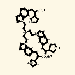 O=C(O)C(Cc1ccc2ccn(CCN(CCn3ccc4ccc(CC(C(=O)O)C5CCNC5)cc43)CCn3ccc4ccc(CC(C(=O)O)C5CCNC5)cc43)c2c1)C1CCNC1